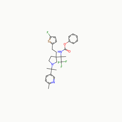 Cc1ccc(C(C)(C)N2CCC(CCc3ccc(F)s3)(C(C)(NC(=O)Oc3ccccc3)C(F)(F)F)C2)cn1